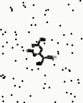 CCCC(C(=O)O)C(CC(=O)C(C)(C)C)OC(C)(C)C